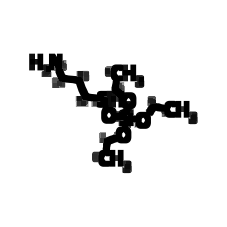 CCO[Si](OCC)(OCC)O[SiH2]CCCN